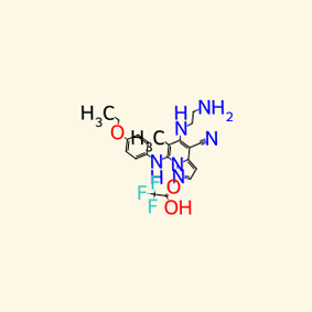 CCOc1ccc(Nc2c(C)c(NCCN)c(C#N)c3ccnn23)cc1.O=C(O)C(F)(F)F